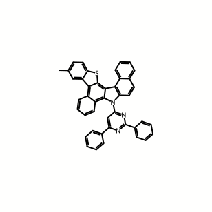 Cc1ccc2sc3c(c2c1)c1ccccc1c1c3c2c3ccccc3ccc2n1-c1cc(-c2ccccc2)nc(-c2ccccc2)n1